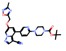 Cc1noc(COc2cc(-c3ccc(N4CCN(C(=O)OC(C)(C)C)CC4)nc3)c3c(C#N)cnn3c2)n1